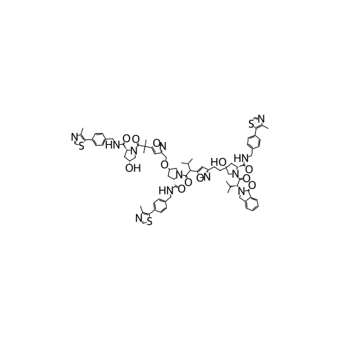 Cc1ncsc1-c1ccc(CNC(=O)[C@@H]2C[C@@H](OCc3cc(C(C)(C)C(=O)N4C[C@H](O)C[C@H]4C(=O)NCc4ccc(-c5scnc5C)cc4)on3)CN2C(=O)C(c2cc(CC[C@@]3(O)C[C@@H](C(=O)NCc4ccc(-c5scnc5C)cc4)N(C(=O)[C@H](C(C)C)N4Cc5ccccc5C4=O)C3)no2)C(C)C)cc1